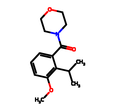 COc1cccc(C(=O)N2CCOCC2)c1C(C)C